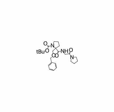 CC(C)(C)OC(=O)N1CCCC1(COCc1ccccc1)C(=O)NCC(=O)N1CCCC1